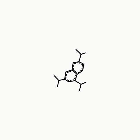 CC(C)c1ccc2c(C(C)C)cc(C(C)C)cc2c1